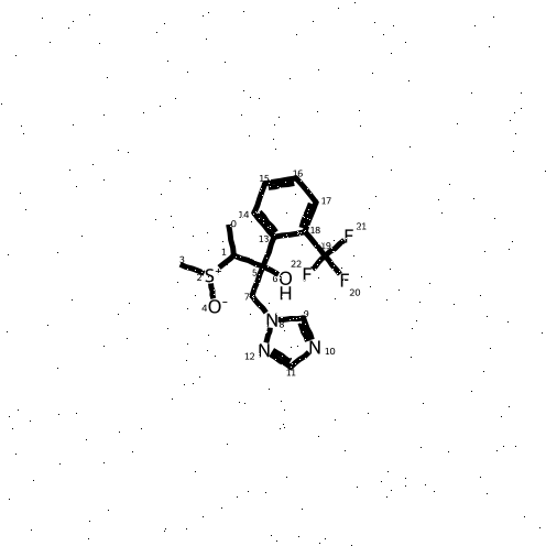 CC([S+](C)[O-])C(O)(Cn1cncn1)c1ccccc1C(F)(F)F